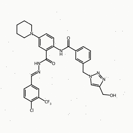 O=C(Nc1ccc(N2CCCCC2)cc1C(=O)NN=Cc1ccc(Cl)c(C(F)(F)F)c1)c1cccc(Cn2cc(CO)nn2)c1